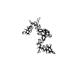 CC1=CC(=O)C(C)=C(C(C)(C)CC(=O)N(C)CCN(C)C(=O)Oc2ccc3c(c2)Oc2cc(OC(=O)N(C)CCN(C)C(=O)CC(C)(C)C4=C(C)C(=O)C=C(C)C4=O)ccc2C32OC(=O)c3ccccc32)C1=O